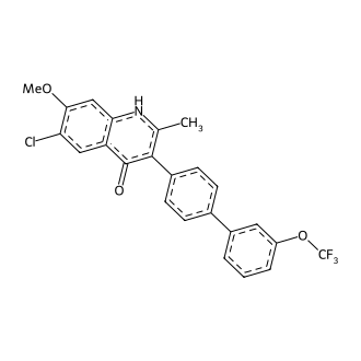 COc1cc2[nH]c(C)c(-c3ccc(-c4cccc(OC(F)(F)F)c4)cc3)c(=O)c2cc1Cl